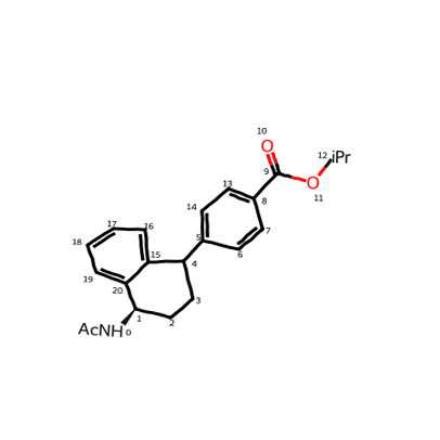 CC(=O)N[C@@H]1CCC(c2ccc(C(=O)OC(C)C)cc2)c2ccccc21